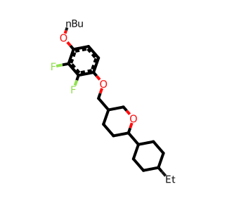 CCCCOc1ccc(OCC2CCC(C3CCC(CC)CC3)OC2)c(F)c1F